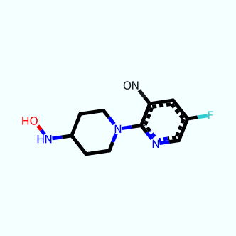 O=Nc1cc(F)cnc1N1CCC(NO)CC1